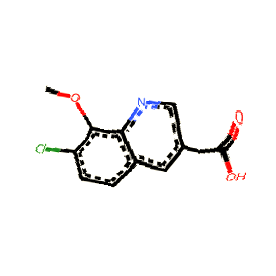 COc1c(Cl)ccc2cc(C(=O)O)cnc12